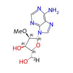 [2H]C(O)[C@H]1O[C@@H](n2cnc3c(N)ncnc32)[C@H](OC)[C@@H]1O